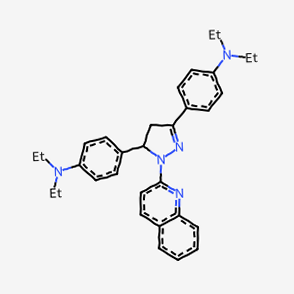 CCN(CC)c1ccc(C2=NN(c3ccc4ccccc4n3)C(c3ccc(N(CC)CC)cc3)C2)cc1